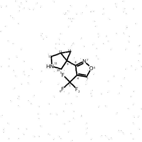 FC(F)(F)c1conc1C12CNCC1C2